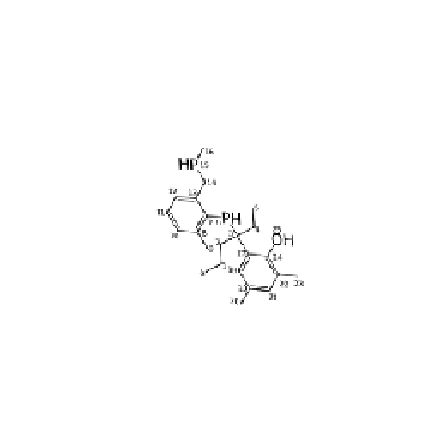 CCCC(CC)(Pc1c(C)cccc1CPC)c1cc(C)cc(C)c1O